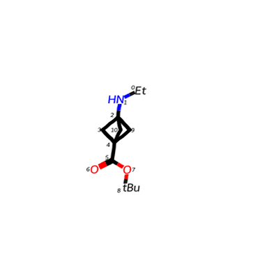 CCNC12CC(C(=O)OC(C)(C)C)(C1)C2